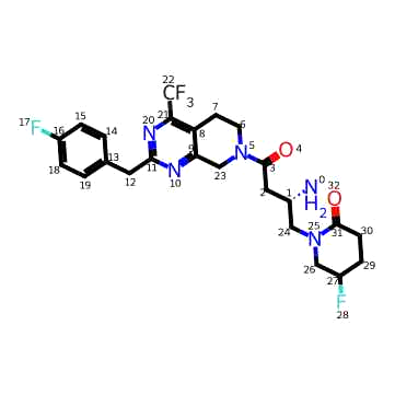 N[C@@H](CC(=O)N1CCc2c(nc(Cc3ccc(F)cc3)nc2C(F)(F)F)C1)CN1CC(F)CCC1=O